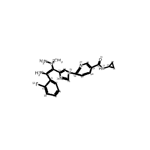 CN(N)/C(=C(\N)c1ccccc1F)c1cn(-c2ccc(C(=O)NC3CC3)cn2)cn1